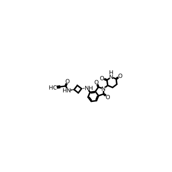 C#CC(=O)N[C@H]1C[C@H](Nc2cccc3c2C(=O)N(C2CCC(=O)NC2=O)C3=O)C1